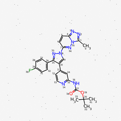 Cc1nnc2ccc(-n3cc(-c4ccnc(NC(=O)OC(C)(C)C)c4)c(-c4ccc(F)cc4)n3)nn12